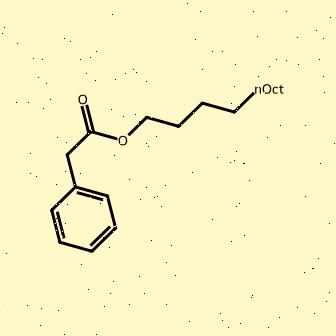 CCCCCCCCCCCCOC(=O)Cc1ccccc1